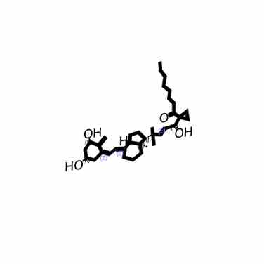 C=C1/C(=C\C=C2/CCC[C@]3(C)[C@@H](C(C)(C)/C=C/[C@@H](O)C4(C(=O)CCCCCCC)CC4)CC[C@@H]23)C[C@@H](O)C[C@@H]1O